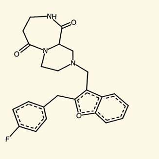 O=C1NCCC(=O)N2CCN(Cc3c(Cc4ccc(F)cc4)oc4ccccc34)CC12